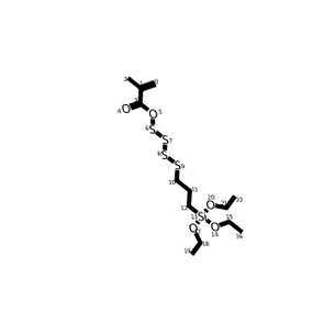 C=C(C)C(=O)OSSSSCCC[Si](OCC)(OCC)OCC